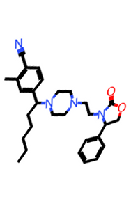 CCCCCC(c1ccc(C#N)c(C)c1)N1CCN(CCN2C(=O)OCC2c2ccccc2)CC1